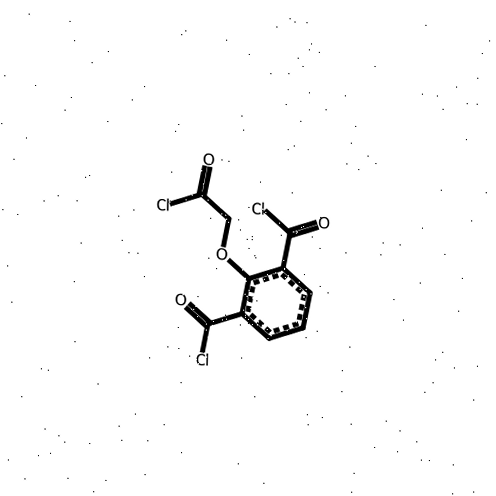 O=C(Cl)COc1c(C(=O)Cl)cccc1C(=O)Cl